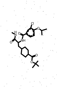 CNC(=O)C(CC1CCC(C(=O)OC(C)(C)C)CC1)NC(=O)c1ccc(OC(C)C)c(Cl)c1